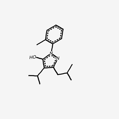 Cc1ccccc1-n1nc(CC(C)C)c(C(C)C)c1O